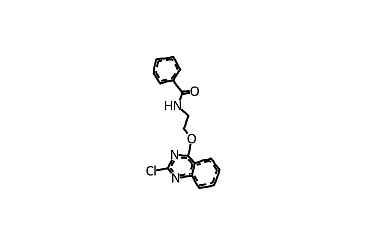 O=C(NCCOc1nc(Cl)nc2ccccc12)c1ccccc1